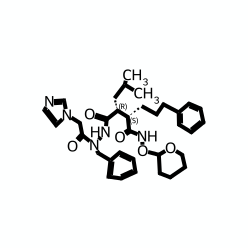 CC(C)C[C@@H](C(=O)NN(Cc1ccccc1)C(=O)Cn1ccnc1)[C@H](CCCc1ccccc1)C(=O)NOC1CCCCO1